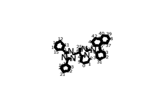 C1=CCN2C(=C1)C(c1nc(-c3ccccc3)nc(-c3ccccc3)n1)=CN=C2n1c2ccccc2c2c3ccccc3ccc21